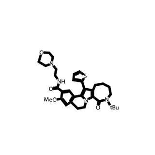 COc1cc2c(cc1C(=O)NCCN1CCOCC1)-c1c(-c3cccs3)c3c(n1CC2)C(=O)N(C(C)(C)C)CCCC3